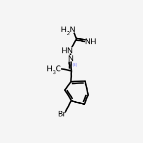 C/C(=N\NC(=N)N)c1cccc(Br)c1